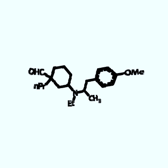 CCCC1(C=O)CCCC(N(CC)C(C)Cc2ccc(OC)cc2)C1